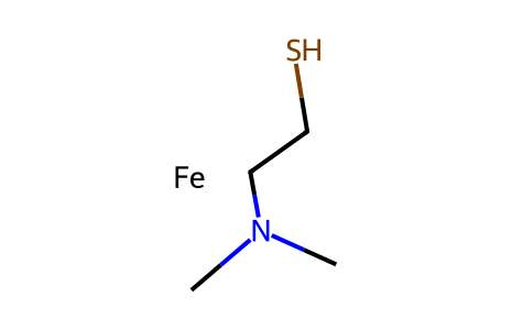 CN(C)CCS.[Fe]